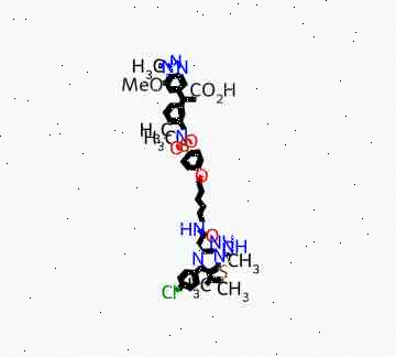 COc1cc(C(CC(=O)O)c2ccc(C)c(CN(C)S(=O)(=O)c3ccc(OCCCCCCNC(=O)C[C@@H]4N=C(c5ccc(Cl)cc5)c5c(sc(C)c5C)N(C(C)=N)C4=N)cc3)c2)cc2nnn(C)c12